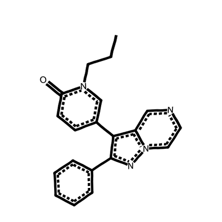 CCCn1cc(-c2c(-c3ccccc3)nn3ccncc23)ccc1=O